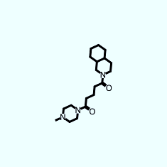 CN1CCN(C(=O)CCCC(=O)N2CCC3CCCCC3C2)CC1